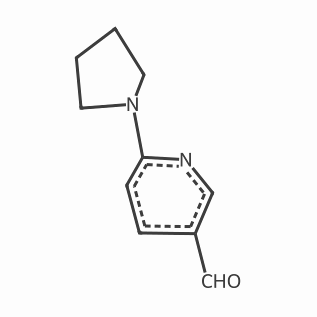 O=Cc1ccc(N2CCCC2)nc1